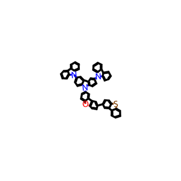 c1ccc2c(c1)sc1ccc(-c3ccc4oc5ccc(-n6c7ccc(-n8c9ccccc9c9ccccc98)cc7c7cc(-n8c9ccccc9c9ccccc98)ccc76)cc5c4c3)cc12